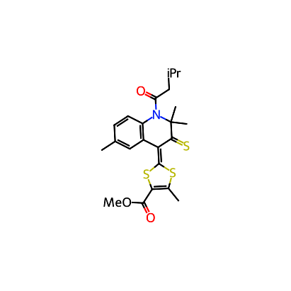 COC(=O)C1=C(C)S/C(=C2\C(=S)C(C)(C)N(C(=O)CC(C)C)c3ccc(C)cc32)S1